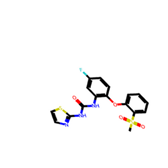 CS(=O)(=O)c1ccccc1Oc1ccc(F)cc1NC(=O)Nc1nccs1